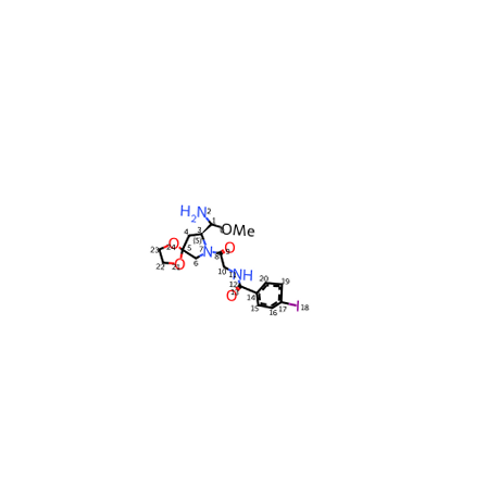 COC(N)[C@@H]1CC2(CN1C(=O)CNC(=O)c1ccc(I)cc1)OCCO2